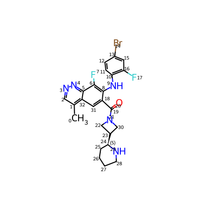 Cc1cnnc2c(F)c(Nc3ccc(Br)cc3F)c(C(=O)N3CC([C@@H]4CCCCN4)C3)cc12